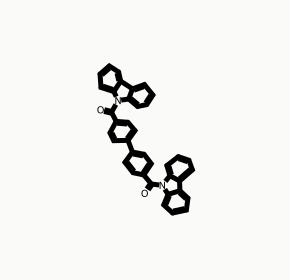 O=C(c1ccc(-c2ccc(C(=O)n3c4ccccc4c4ccccc43)cc2)cc1)n1c2ccccc2c2ccccc21